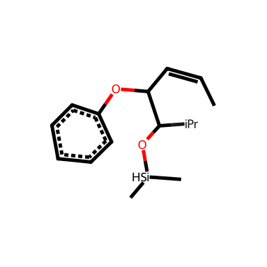 C/C=C\C(Oc1ccccc1)C(O[SiH](C)C)C(C)C